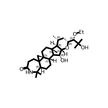 CCO[C@@H]([C@H]1C[C@@H](C)[C@H]2[C@H](O1)[C@H](O)C1[C@@H]3CC[C@H]4C(C)(C)NC(=O)CCC45C[C@@]35CC[C@@]12C)C(C)(C)O